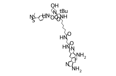 Cc1ncsc1-c1ccc(CNC(=O)[C@@H]2C[C@@H](O)CN2C(=O)[C@@H](NC(=O)CCCCCCC(=O)NCCC(=O)Nc2cc3cc(-c4cncc(N)c4C)c(F)c(N)c3cn2)C(C)(C)C)cc1